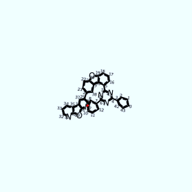 c1ccc(-c2nc(-c3ccccc3)nc(-c3cccc4oc5ccc(-c6cnc7oc8ncccc8c7c6)cc5c34)n2)cc1